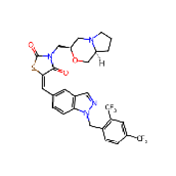 O=C1SC(=Cc2ccc3c(cnn3Cc3ccc(C(F)(F)F)cc3C(F)(F)F)c2)C(=O)N1C[C@H]1CN2CCC[C@H]2CO1